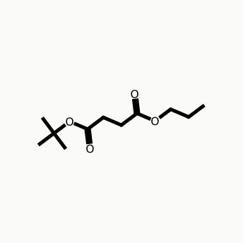 CCCOC(=O)CCC(=O)OC(C)(C)C